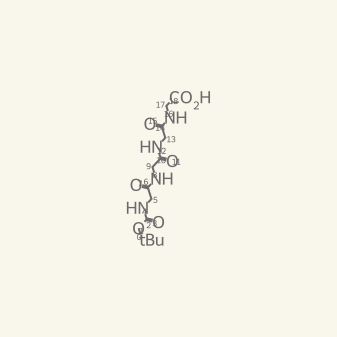 CC(C)(C)OC(=O)NCC(=O)NCC(=O)NCC(=O)NCC(=O)O